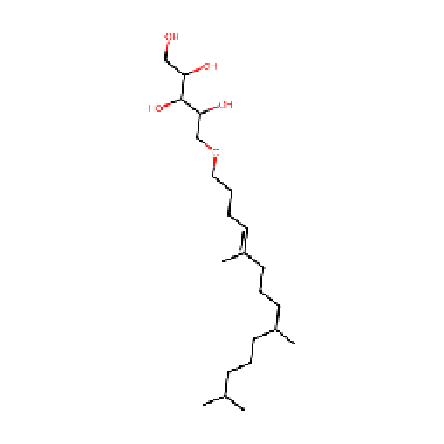 C/C(=C\CCCOCC(O)C(O)C(O)CO)CCCC(C)CCCC(C)C